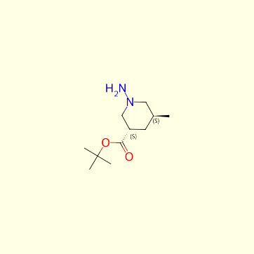 C[C@H]1C[C@H](C(=O)OC(C)(C)C)CN(N)C1